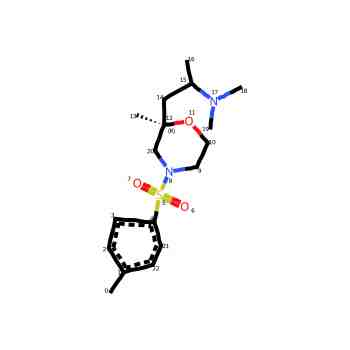 Cc1ccc(S(=O)(=O)N2CCO[C@](C)(CC(C)N(C)C)C2)cc1